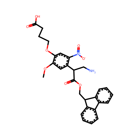 COc1cc(C(CN)C(=O)OCC2c3ccccc3-c3ccccc32)c([N+](=O)[O-])cc1OCCCC(=O)O